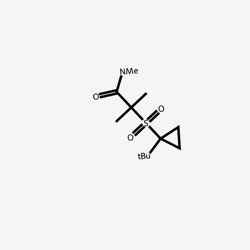 CNC(=O)C(C)(C)S(=O)(=O)C1(C(C)(C)C)CC1